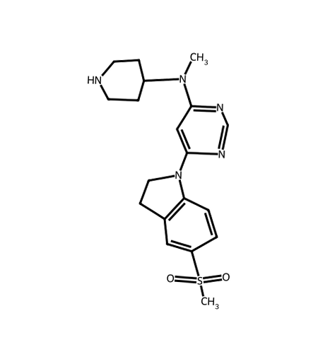 CN(c1cc(N2CCc3cc(S(C)(=O)=O)ccc32)ncn1)C1CCNCC1